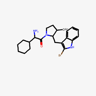 CC(=O)OC1CCN(C(=O)C(N)C2CCCCC2)C1Cc1c(Br)[nH]c2ccccc12